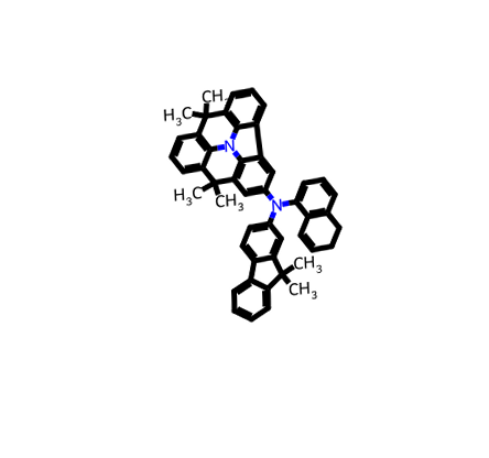 CC1(C)c2ccccc2-c2ccc(N(c3cc4c5c(c3)c3cccc6c3n5-c3c(cccc3C4(C)C)C6(C)C)c3cccc4c3C=CCC4)cc21